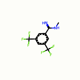 CNC(=N)c1cc(C(F)(F)F)cc(C(F)(F)F)c1